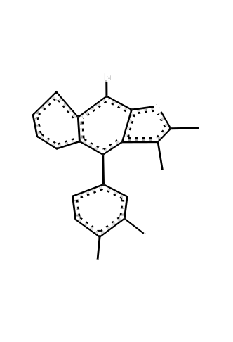 Cc1sc2c(Br)c3ccccc3c(-c3ccc(O)c(F)c3)c2c1C